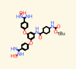 CC(C)(C)OC(=O)NC1CCC(C(=O)Nc2cc(Oc3ccc(C(=N)NO)cc3)cc(Oc3ccc(C(=N)NO)cc3)c2)CC1